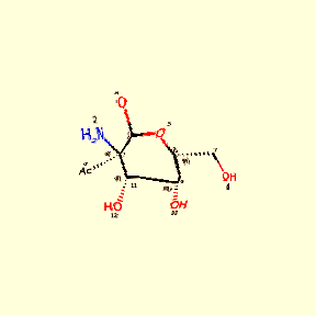 CC(=O)[C@]1(N)C([O])O[C@H](CO)[C@H](O)[C@@H]1O